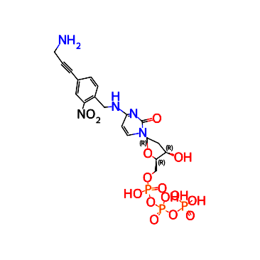 NCC#Cc1ccc(CNc2ccn([C@H]3C[C@@H](O)[C@@H](COP(=O)(O)OP(=O)(O)OP(=O)(O)O)O3)c(=O)n2)c([N+](=O)[O-])c1